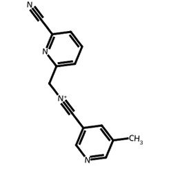 Cc1cncc(C#[N+]Cc2cccc(C#N)n2)c1